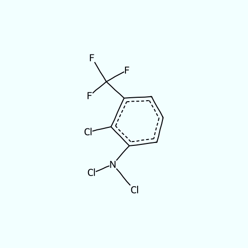 FC(F)(F)c1cccc(N(Cl)Cl)c1Cl